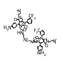 CN(C)CCN1CC2=C(C1=O)[C@@H](c1ccc(N)cc1)N(CC(=O)NCC[N+](C)(C)CCNC(=O)CN1C(=O)N(c3cccc(C(F)(F)F)c3)C3=C(C(=O)N(CCN(C)C)C3)[C@H]1c1ccc(N)cc1)C(=O)N2c1cccc(C(F)(F)F)c1